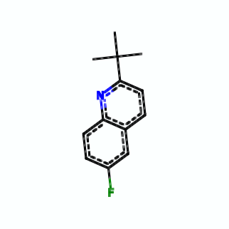 CC(C)(C)c1ccc2cc(F)ccc2n1